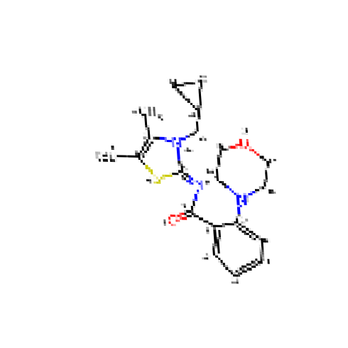 Cc1c(C(C)(C)C)s/c(=N\C(=O)c2ccccc2N2CCOCC2)n1CC1CC1